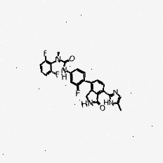 Cc1cnc(-c2ccc(-c3ccc(NC(=O)N(C)c4c(F)cccc4F)cc3F)c3c2C(=O)NC3)[nH]1